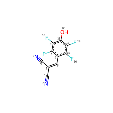 N#CC(C#N)=Cc1c(F)c(F)c(O)c(F)c1F